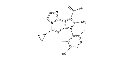 Cc1ccc(O)c(C)c1-n1c(N)c(C(N)=O)c2c1nc(C1CC1)n1ccnc21